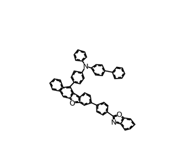 c1ccc(-c2ccc(N(c3ccccc3)c3ccc(-c4c5ccccc5cc5oc6cc(-c7ccc(-c8nc9ccccc9o8)cc7)ccc6c45)cc3)cc2)cc1